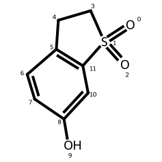 O=S1(=O)CCc2ccc(O)cc21